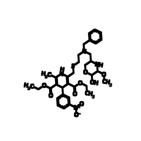 CCOC(=O)C1=C(C)NC(CSCCN(Cc2ccccc2)CC2COC(O)C(OC)N2)=C(C(=O)OCC)C1c1cccc([N+](=O)[O-])c1